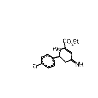 CCOC(=O)C1=CC(=N)CC(c2ccc(Cl)cc2)N1